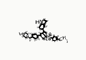 Cc1ccc(S(=O)(=O)n2cc(-c3ccc4[nH]ccc4c3)c3cc(-c4ccc(CN5CCNCC5)cc4)cnc32)cc1